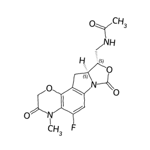 CC(=O)NC[C@@H]1OC(=O)N2c3cc(F)c4c(c3C[C@@H]12)OCC(=O)N4C